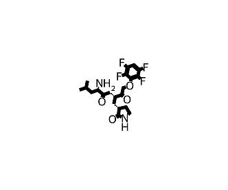 CC(C)C[C@H](N)C(=O)C[C@@H](C[C@@H]1CCNC1=O)C(=O)COc1c(F)c(F)cc(F)c1F